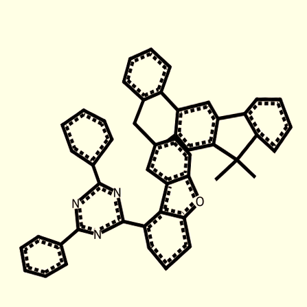 Cc1cc2c(cc1-c1ccccc1Cc1ccc3oc4cccc(-c5nc(-c6ccccc6)nc(-c6ccccc6)n5)c4c3c1)-c1ccccc1C2(C)C